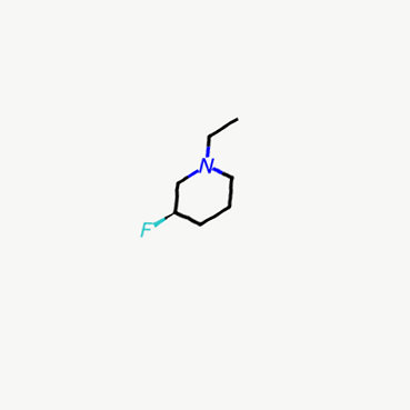 CCN1CCC[C@@H](F)C1